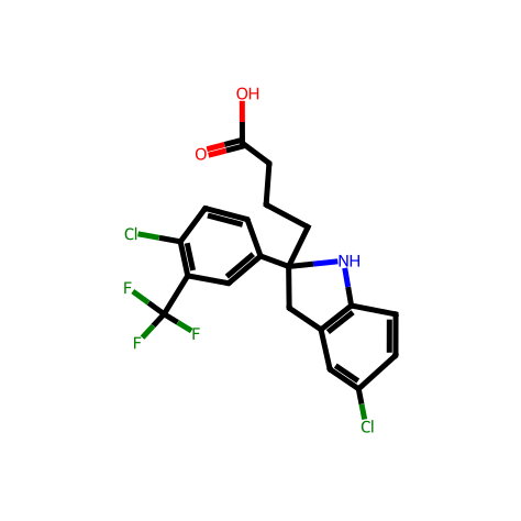 O=C(O)CCCC1(c2ccc(Cl)c(C(F)(F)F)c2)Cc2cc(Cl)ccc2N1